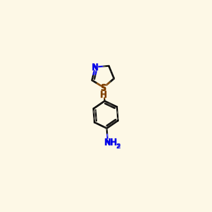 Nc1ccc([SH]2C=NCC2)cc1